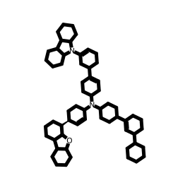 C1=C[C@@H](C2CCCC3C4CCCCC4OC32)CCC1N(C1CC=C(C2CCC=C(N3C4CCCCC4C4CCCCC43)C2)CC1)C1CCC(C2=CC(C3CCCCC3)CCC2)CC1